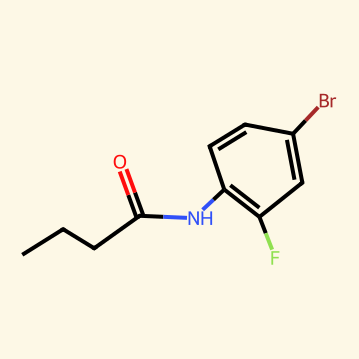 CCCC(=O)Nc1ccc(Br)cc1F